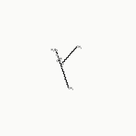 CCCCCCCCCCCCCCCCOCC(COC(=O)NCCOCCOC)OCCCCCCCCCCCCCCCC